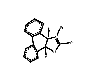 CC(C)C1=[N+](C(C)C)[C@H]2c3ccccc3-c3ccccc3[C@H]2O1